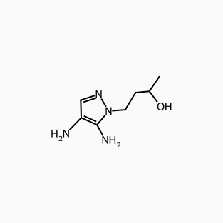 CC(O)CCn1ncc(N)c1N